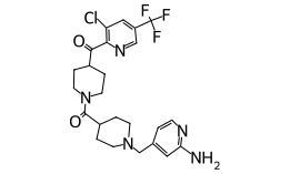 Nc1cc(CN2CCC(C(=O)N3CCC(C(=O)c4ncc(C(F)(F)F)cc4Cl)CC3)CC2)ccn1